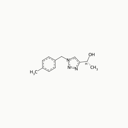 Cc1ccc(Cn2cc([C@@H](C)O)nn2)cc1